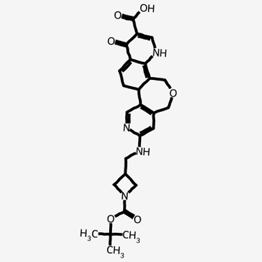 CC(C)(C)OC(=O)N1CC(CNc2cc3c(cn2)C2CC=c4c([nH]cc(C(=O)O)c4=O)=C2COC3)C1